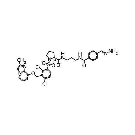 Cc1cn2cccc(OCc3c(Cl)ccc(S(=O)(=O)N4CCC[C@H]4C(=O)NCCCNC(=O)c4ccc(C=NN)cc4)c3Cl)c2n1